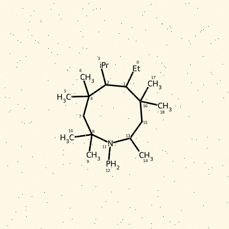 CCC1C(C(C)C)C(C)(C)CC(C)(C)N(P)C(C)CC1(C)C